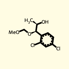 COCO[C@H](c1ccc(Cl)cc1Cl)[C@@H](C)O